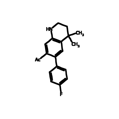 CC(=O)c1cc2c(cc1-c1ccc(F)cc1)C(C)(C)CCN2